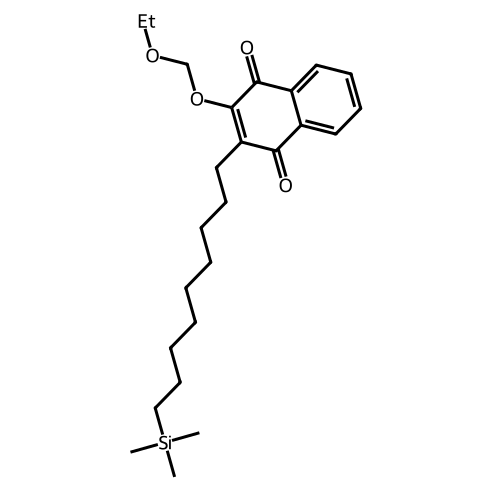 CCOCOC1=C(CCCCCCCCC[Si](C)(C)C)C(=O)c2ccccc2C1=O